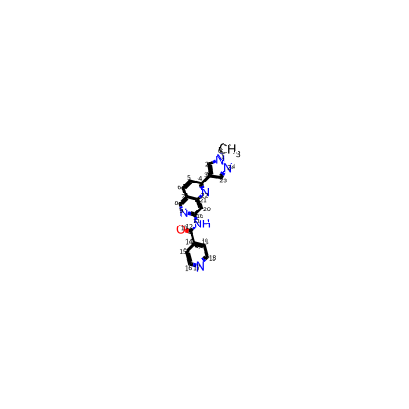 Cn1cc(-c2ccc3cnc(NC(=O)c4ccncc4)cc3n2)cn1